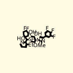 CCc1cccnc1C([SH]1C[C@H](OC)[C@@H](n2cc(-c3cc(F)c(F)c(F)c3)nn2)[C@@H](O)[C@H]1CO)C1(O)CCC(F)(F)CC1